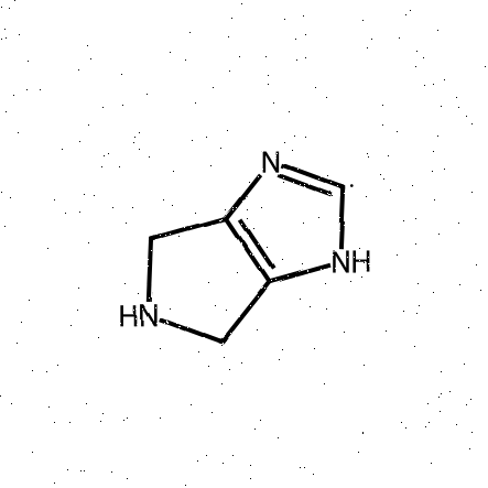 [c]1nc2c([nH]1)CNC2